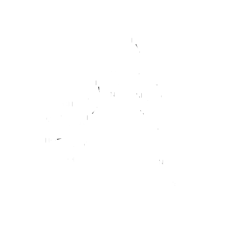 N#C[C@@H]1C[C@@H]2C[C@@H]2N1C(=O)[C@@H](N)C12CC3C[C@H](CC(OCCOCCN4CCOCC4)(C3)C1)C2.O=C(O)[C@@H](O)[C@@H](O)C(=O)O